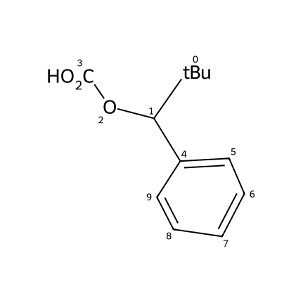 CC(C)(C)C(OC(=O)O)c1ccccc1